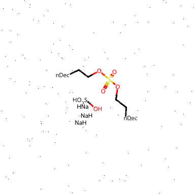 CCCCCCCCCCCCOS(=O)(=O)OCCCCCCCCCCCC.O=S(=O)(O)O.[NaH].[NaH].[NaH]